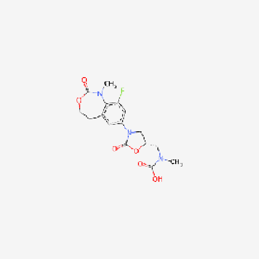 CN(C[C@H]1CN(c2cc(F)c3c(c2)CCOC(=O)N3C)C(=O)O1)C(=O)O